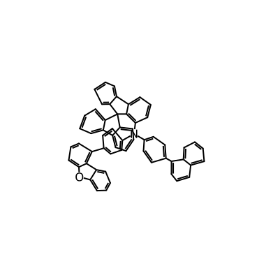 c1ccc2c(c1)-c1ccccc1C21c2ccccc2-c2cccc(N(c3ccc(-c4cccc5ccccc45)cc3)c3ccc(-c4cccc5oc6ccccc6c45)cc3)c21